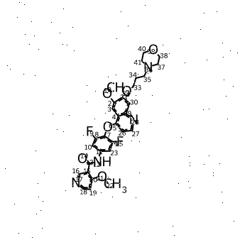 COc1cc2c(Oc3c(F)cc(NC(=O)c4cnccc4OC)cc3F)ccnc2cc1OCCCN1CCOCC1